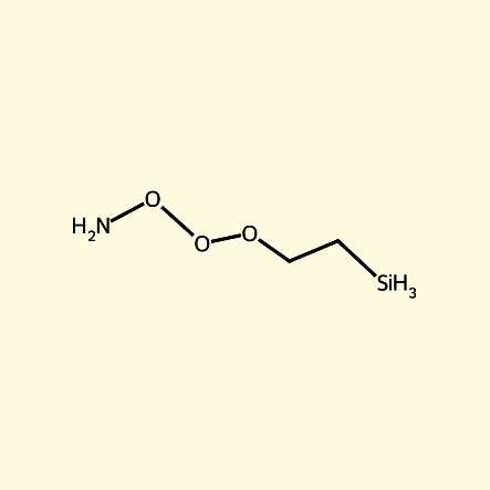 NOOOCC[SiH3]